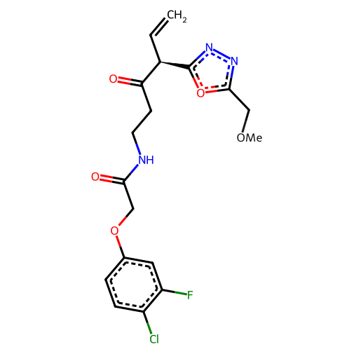 C=C[C@H](C(=O)CCNC(=O)COc1ccc(Cl)c(F)c1)c1nnc(COC)o1